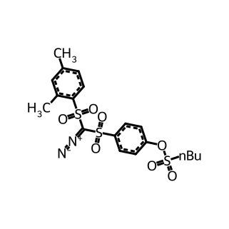 CCCCS(=O)(=O)Oc1ccc(S(=O)(=O)C(=[N+]=[N-])S(=O)(=O)c2ccc(C)cc2C)cc1